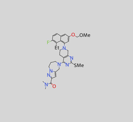 CCc1c(F)ccc2cc(OCOC)cc(N3CCc4c(nc(SC)nc4N4CCCn5nc(C(=O)N(C)C)cc5C4)C3)c12